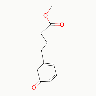 COC(=O)CCCC1=CC=CC(=O)C1